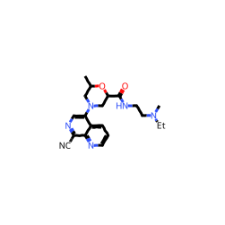 CCN(C)CCNC(=O)C1CN(c2cnc(C#N)c3ncccc23)CC(C)O1